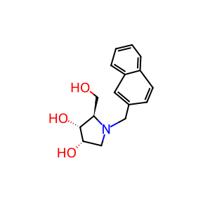 OC[C@@H]1[C@@H](O)[C@@H](O)CN1Cc1ccc2ccccc2c1